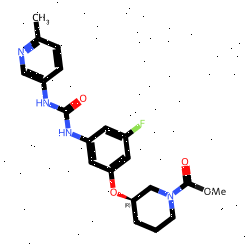 COC(=O)N1CCC[C@@H](Oc2cc(F)cc(NC(=O)Nc3ccc(C)nc3)c2)C1